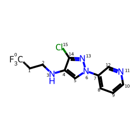 FC(F)(F)CCNc1cn(-c2cccnc2)nc1Cl